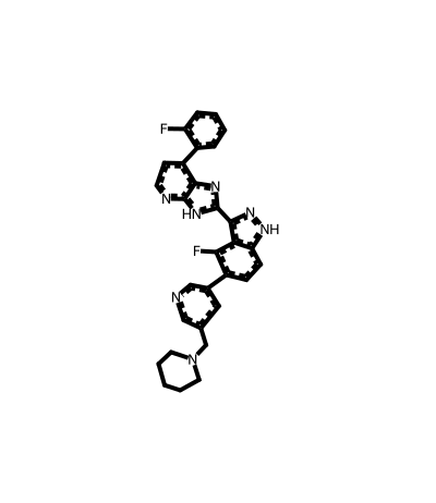 Fc1ccccc1-c1ccnc2[nH]c(-c3n[nH]c4ccc(-c5cncc(CN6CCCCC6)c5)c(F)c34)nc12